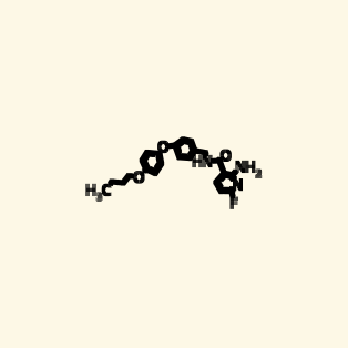 CCCCOc1ccc(Oc2ccc(CNC(=O)c3ccc(F)nc3N)cc2)cc1